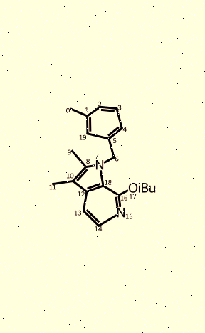 Cc1cccc(Cn2c(C)c(C)c3ccnc(OCC(C)C)c32)c1